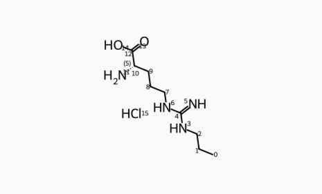 CCCNC(=N)NCCC[C@H](N)C(=O)O.Cl